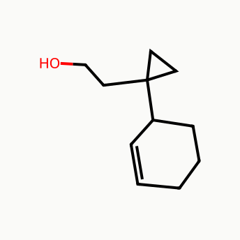 OCCC1(C2C=CCCC2)CC1